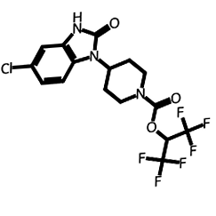 O=C(OC(C(F)(F)F)C(F)(F)F)N1CCC(n2c(=O)[nH]c3cc(Cl)ccc32)CC1